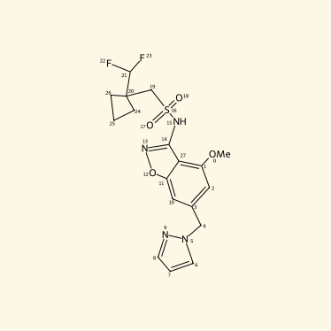 COc1cc(Cn2cccn2)cc2onc(NS(=O)(=O)CC3(C(F)F)CCC3)c12